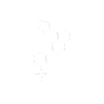 NS(=O)(=O)c1cncc(-c2ccc3nccc(-c4cn[nH]c4)c3n2)c1